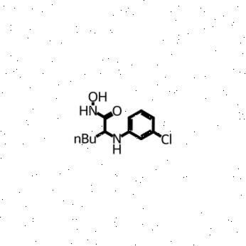 CCCCC(Nc1cccc(Cl)c1)C(=O)NO